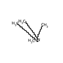 CCCCCCCCCCCCCCCCCC(C)n1ccnc1C(CCCCCCCCCC)CCCCCCCCCCCCCCC